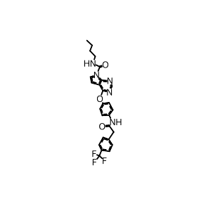 CCCCNC(=O)n1ccc2c(Oc3ccc(NC(=O)Cc4ccc(C(F)(F)F)cc4)cc3)ncnc21